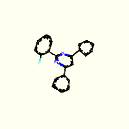 Fc1ccccc1-c1nc(-c2ccccc2)cc(-c2ccccc2)n1